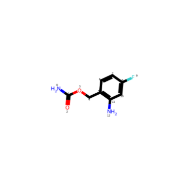 NC(=O)OCc1ccc(F)cc1N